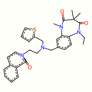 CCN1C(=O)C(C)(C)C(=O)N(C)c2cc(CN(CCn3ccc4ccccc4c3=O)Cc3cccs3)ccc21